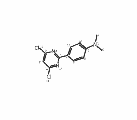 CN(C)c1ccc(-c2nc(Cl)cc(Cl)n2)cc1